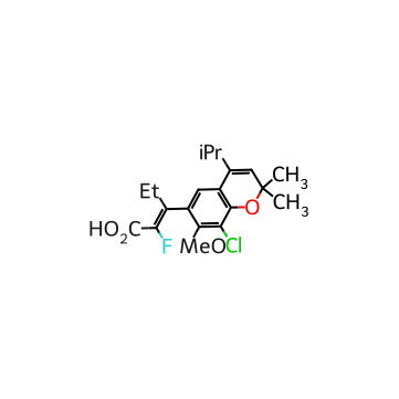 CCC(=C(F)C(=O)O)c1cc2c(c(Cl)c1OC)OC(C)(C)C=C2C(C)C